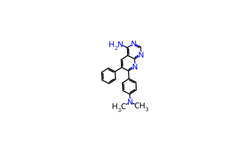 CN(C)c1ccc(-c2nc3ncnc(N)c3cc2-c2ccccc2)cc1